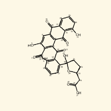 NC(=O)c1c(O)cc2c(c1C(=O)c1c(O)cccc1C1(O)CCC(CC(=O)O)O1)C(=O)c1c(O)cccc1C2=O